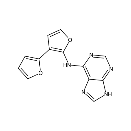 c1coc(-c2ccoc2Nc2ncnc3[nH]cnc23)c1